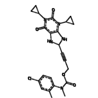 CN(C(=O)OCC#CC1Nc2c(n(C3CC3)c(=O)n(C3CC3)c2=O)N1)c1ccc(Cl)cc1Cl